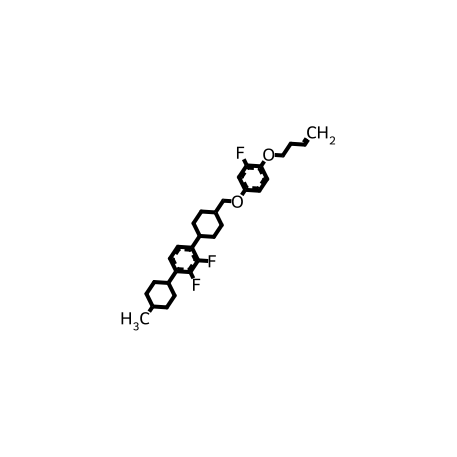 C=CCCOc1ccc(OCC2CCC(c3ccc(C4CCC(C)CC4)c(F)c3F)CC2)cc1F